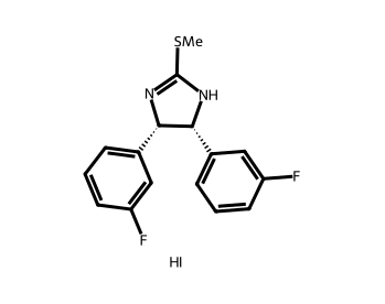 CSC1=N[C@@H](c2cccc(F)c2)[C@@H](c2cccc(F)c2)N1.I